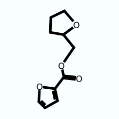 O=C(OCC1CCCO1)c1ccco1